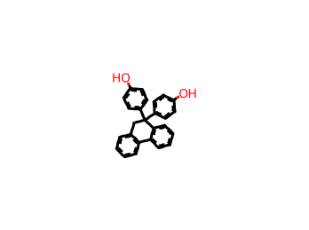 Oc1ccc(C2(c3ccc(O)cc3)Cc3ccccc3-c3ccccc32)cc1